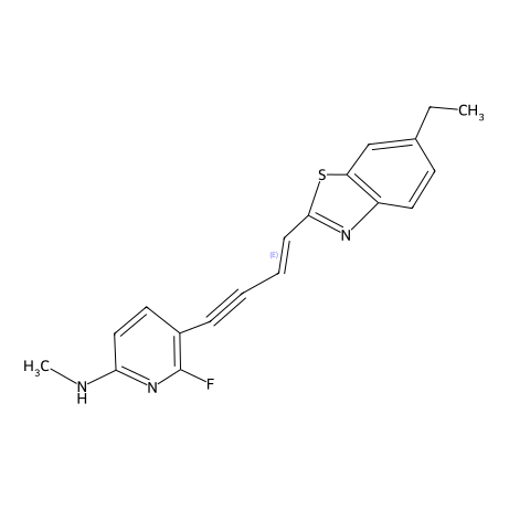 CCc1ccc2nc(/C=C/C#Cc3ccc(NC)nc3F)sc2c1